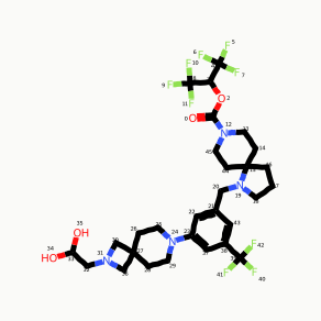 O=C(OC(C(F)(F)F)C(F)(F)F)N1CCC2(CCCN2Cc2cc(N3CCC4(CC3)CN(CC(O)O)C4)cc(C(F)(F)F)c2)CC1